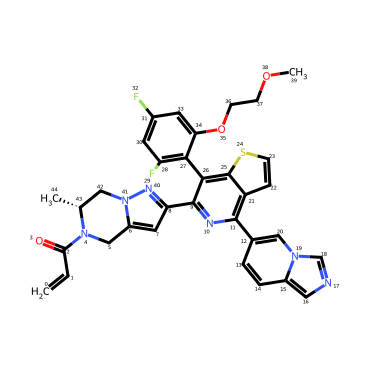 C=CC(=O)N1Cc2cc(-c3nc(-c4ccc5cncn5c4)c4ccsc4c3-c3c(F)cc(F)cc3OCCOC)nn2C[C@H]1C